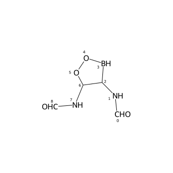 O=CNC1BOOC1NC=O